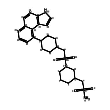 NS(=O)(=O)CC1CCCN(S(=O)(=O)CC2CCC(c3ccnc4cnc5[nH]ccc5c34)CC2)C1